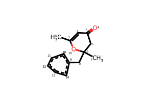 CC1=CC(=O)CC(C)(Cc2ccccc2)O1